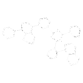 c1ccc(-c2nc(-c3cccc(-c4ccc(-c5ccccc5)c5ccccc45)c3)nc(-c3ccccc3-c3cccc4ccccc34)n2)cc1